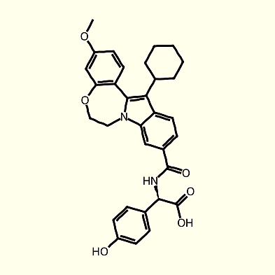 COc1ccc2c(c1)OCCn1c-2c(C2CCCCC2)c2ccc(C(=O)N[C@@H](C(=O)O)c3ccc(O)cc3)cc21